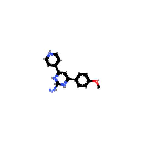 COc1ccc(-c2cc(-c3ccncc3)nc(N)n2)cc1